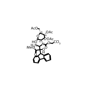 COC(=O)C(O)(C1c2ccccc2-c2ccccc21)C(N)N(C(=O)OCC(Cl)(Cl)Cl)[C@H]1[C@@H](OC(C)=O)[C@@H](OC(C)=O)[C@@H](COC(C)=O)O[C@@H]1O